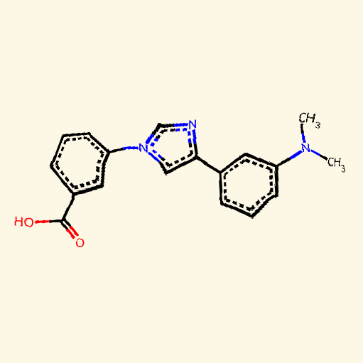 CN(C)c1cccc(-c2cn(-c3cccc(C(=O)O)c3)cn2)c1